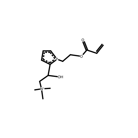 C=CC(=O)OCCp1cccc1C(O)C[N+](C)(C)C